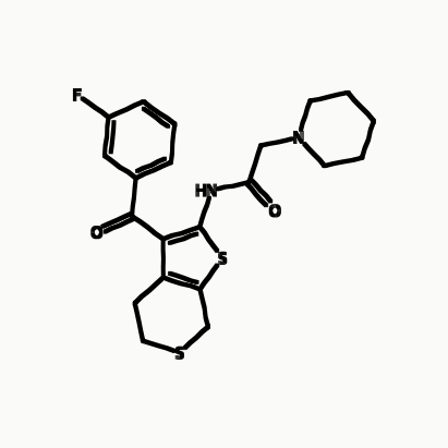 O=C(CN1CCCCC1)Nc1sc2c(c1C(=O)c1cccc(F)c1)CCSC2